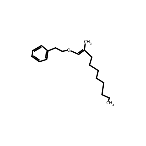 CCCCCCCC/C(C)=C/OCCc1ccccc1